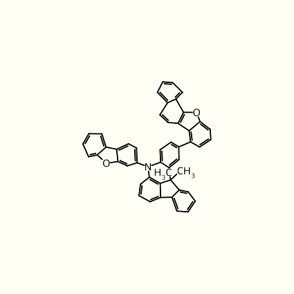 CC1(C)c2ccccc2-c2cccc(N(c3ccc(-c4cccc5oc6c7ccccc7ccc6c45)cc3)c3ccc4c(c3)oc3ccccc34)c21